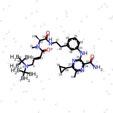 BC(B)(B)N(C/C=C/C(=O)N(C)[C@@H](C)C(=O)NCCc1cccc(Nc2nc(C3CC3)c(C)nc2C(N)=O)c1)C(B)(B)B